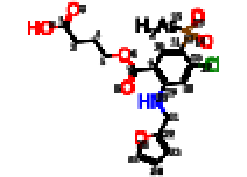 O=C(O)CCCOC(=O)c1cc(S(=O)(=O)[AsH2])c(Cl)cc1NCc1ccco1